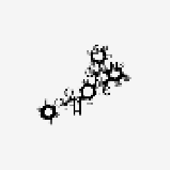 O=C(COc1ccccc1)NC1CCC(n2c(=O)c3cc(F)cnc3n(C3CCSCC3)c2=O)CC1